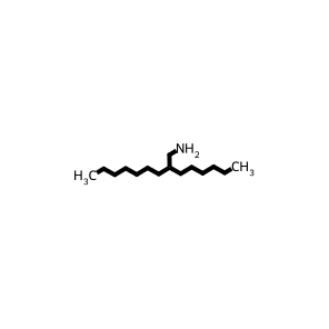 CCCCCCCC(CN)CCCCCC